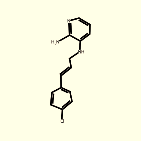 Nc1ncccc1NCC=Cc1ccc(Cl)cc1